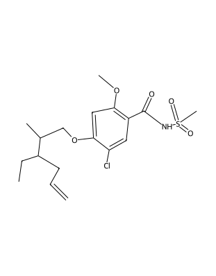 C=CCC(CC)C(C)COc1cc(OC)c(C(=O)NS(C)(=O)=O)cc1Cl